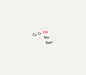 [BaH+].[Cr].[Cu].[Mn].[OH-]